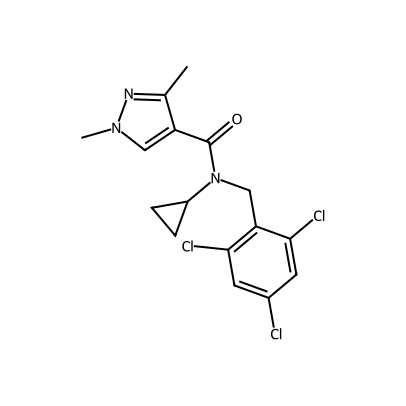 Cc1nn(C)cc1C(=O)N(Cc1c(Cl)cc(Cl)cc1Cl)C1CC1